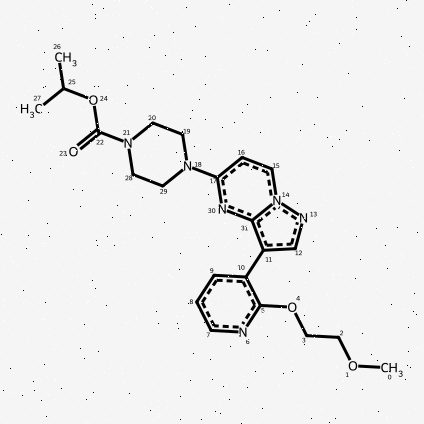 COCCOc1ncccc1-c1cnn2ccc(N3CCN(C(=O)OC(C)C)CC3)nc12